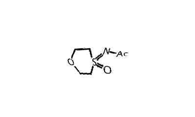 CC(=O)N=S1(=O)CCOCC1